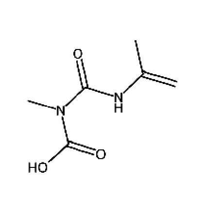 C=C(C)NC(=O)N(C)C(=O)O